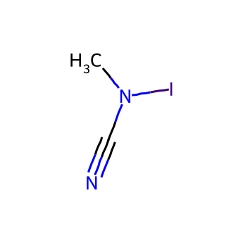 CN(I)C#N